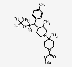 [2H]C([2H])([2H])OC([2H])([2H])[C@@H](c1ccc(C(F)(F)F)cc1)N1CCN(C2(C)CCN(C(=O)OC(C)(C)C)CC2)C[C@@H]1C